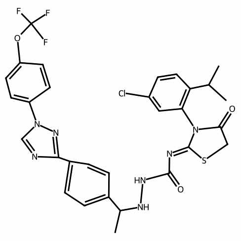 CC(C)c1ccc(Cl)cc1N1C(=O)CSC1=NC(=O)NNC(C)c1ccc(-c2ncn(-c3ccc(OC(F)(F)F)cc3)n2)cc1